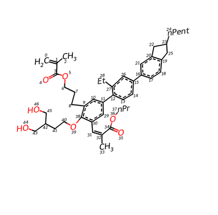 C=C(C)C(=O)OCCCc1cc(-c2ccc(-c3ccc4c(c3)CC(CCCCC)C4)cc2CC)cc(C=C(C)C(=O)OCCC)c1OCCC(CO)CO